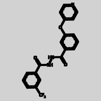 O=C(NNC(=O)c1cccc(C(F)(F)F)c1)c1cccc(Oc2ccncc2)c1